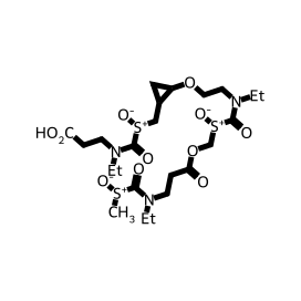 CCN(CCC(=O)OC[S+]([O-])C(=O)N(CC)CCOC1CC1C[S+]([O-])C(=O)N(CC)CCC(=O)O)C(=O)[S+](C)[O-]